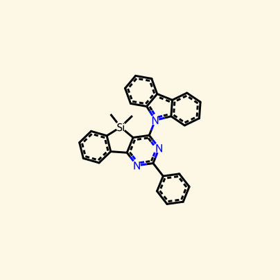 C[Si]1(C)c2ccccc2-c2nc(-c3ccccc3)nc(-n3c4ccccc4c4ccccc43)c21